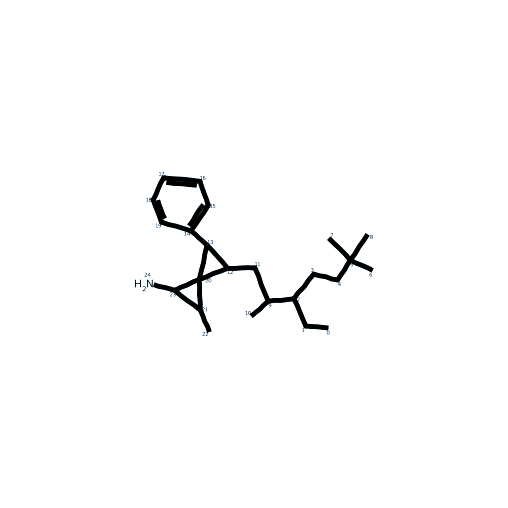 CCC(CCC(C)(C)C)C(C)CC1C(c2ccccc2)C12C(C)C2N